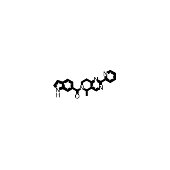 CC1c2cnc(-c3ccccn3)nc2CCN1C(=O)c1ccc2cc[nH]c2c1